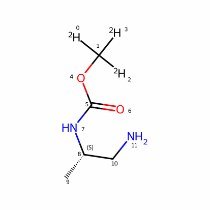 [2H]C([2H])([2H])OC(=O)N[C@@H](C)CN